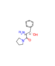 N[C@@H](C(=O)N1CCCC1)[C@@H](O)c1ccccc1